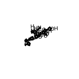 CNCCOc1nc2[nH]ccc2cc1Oc1cc(N2CCC3(CC2)CC(N2CCC[C@H]2c2ccccc2C(C)C)C3)ccc1C(=O)NS(=O)(=O)c1cc2c(c([N+](=O)[O-])c1)N[C@@H]([C@H]1CC[C@](C)(O)CC1)CO2